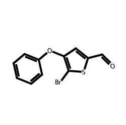 O=Cc1cc(Oc2ccccc2)c(Br)s1